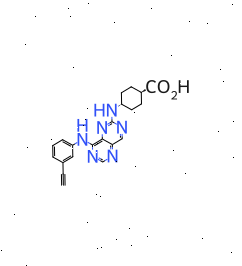 C#Cc1cccc(Nc2ncnc3cnc(N[C@H]4CC[C@H](C(=O)O)CC4)nc23)c1